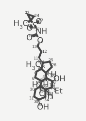 CC[C@H]1[C@@H](O)[C@@H]2[C@H](CC[C@]3(C)[C@@H](CCCOC(=O)NS(=O)(=O)C4(C)CC4)CC[C@@H]23)[C@@]2(C)CC[C@@H](O)C[C@@H]12